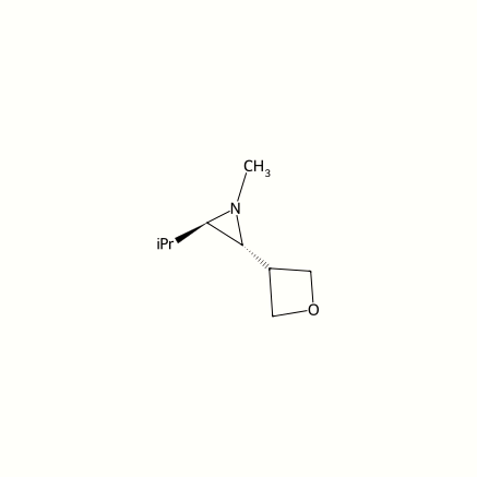 CC(C)[C@@H]1[C@@H](C2COC2)N1C